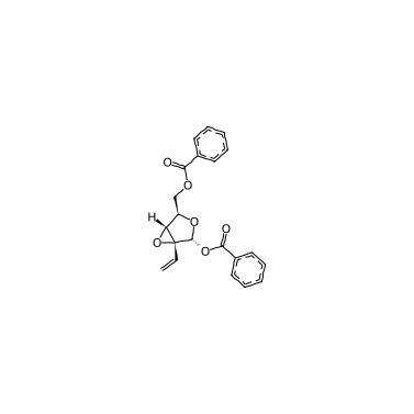 C=C[C@@]12O[C@@H]1[C@@H](COC(=O)c1ccccc1)O[C@@H]2OC(=O)c1ccccc1